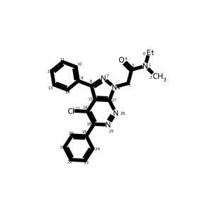 CCN(C)C(=O)Cn1nc(-c2ccccc2)c2c(Cl)c(-c3ccccc3)nnc21